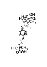 CC(C)(CCCSc1ccc(SCCC(C)(C)C(C)(C)C(=O)O)nn1)C(=O)O